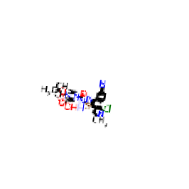 Cc1cc(-c2sc(NC(=O)N3CCN(C(=O)OC(C)(C)C)[C@@H](C(=O)O)C3)nc2-c2cccc(C#N)c2)cc(Cl)n1